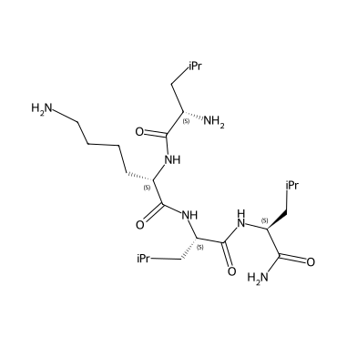 CC(C)C[C@H](NC(=O)[C@H](CC(C)C)NC(=O)[C@H](CCCCN)NC(=O)[C@@H](N)CC(C)C)C(N)=O